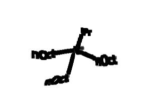 CCCCCCCC[N+](CCCCCCCC)(CCCCCCCC)C(C)C